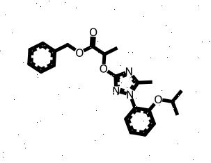 Cc1nc(OC(C)C(=O)OCc2ccccc2)nn1-c1ccccc1OC(C)C